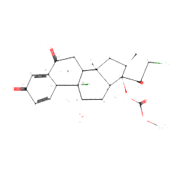 CCCOC(=O)O[C@]1(C(=O)CCl)[C@H](C)C[C@H]2[C@@H]3CC(=O)C4=CC(=O)C=C[C@]4(C)[C@@]3(F)[C@@H](O)C[C@@]21C